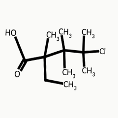 CCC(C)(C(=O)O)C(C)(C)C(C)(C)Cl